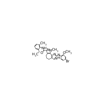 CCc1cccc(C)c1NC(=O)c1nn(C)c2c1CCCc1cnc(Nc3ccc(Br)cc3OC)nc1-2